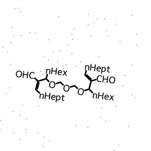 CCCCCCCC=C(C=O)C(CCCCCC)OCOCOC(CCCCCC)C(C=O)=CCCCCCCC